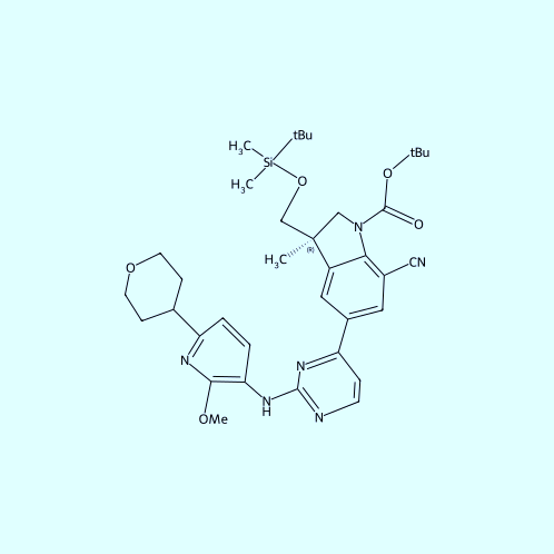 COc1nc(C2CCOCC2)ccc1Nc1nccc(-c2cc(C#N)c3c(c2)[C@@](C)(CO[Si](C)(C)C(C)(C)C)CN3C(=O)OC(C)(C)C)n1